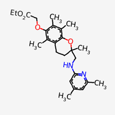 CCOC(=O)COc1c(C)c(C)c2c(c1C)CCC(C)(CNc1cc(C)cc(C)n1)O2